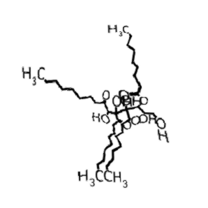 CCCCCCCCC(=O)OC(C(O)CO)C(O)(C(=O)CCCCCCCC)C(O)(C(=O)CCCCCCCC)C(O)C(=O)CCCCCCCC